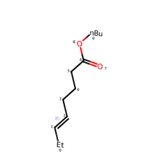 CC/C=C/CCCC(=O)OCCCC